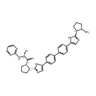 BN1CCC[C@@H]1c1ncc(-c2ccc(-c3ccc(-c4cnc([C@@H]5CCCN5C(=O)[C@@H](Nc5ncccn5)C(C)C)[nH]4)cc3)cc2)[nH]1